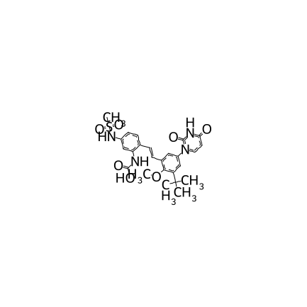 COc1c(/C=C/c2ccc(NS(C)(=O)=O)cc2NC(=O)O)cc(-n2ccc(=O)[nH]c2=O)cc1C(C)(C)C